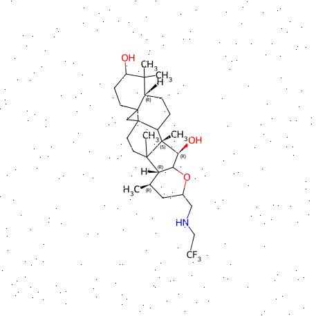 C[C@@H]1CC(CNCC(F)(F)F)OC2[C@H]1C1(C)CCC34CC35CCC(O)C(C)(C)[C@@H]5CCC4[C@]1(C)[C@H]2O